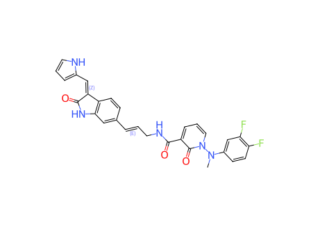 CN(c1ccc(F)c(F)c1)n1cccc(C(=O)NC/C=C/c2ccc3c(c2)NC(=O)/C3=C\c2ccc[nH]2)c1=O